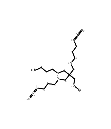 CCOCC(COCCCN)(COCCCN=[N+]=[N-])COCCCN=[N+]=[N-]